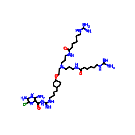 N=C(N)NCCCCCC(=O)NCCCN(CCCNC(=O)CCCCCNC(=N)N)CCOC1CCC(CCCCNC(=N)NC(=O)C2=C(N)NC(N)C(Cl)=N2)CC1